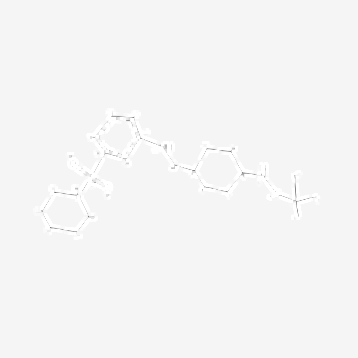 CC(C)(C)SNC1CCC(CNc2cccc(S(=O)(=O)N3CCCCC3)c2)CC1